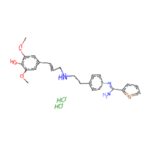 COc1cc(/C=C/CNCCc2ccc(/N=C(\N)c3cccs3)cc2)cc(OC)c1O.Cl.Cl